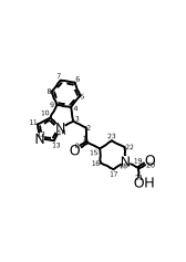 O=C(CC1c2ccccc2-c2cncn21)C1CCN(C(=O)O)CC1